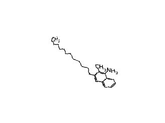 CCCCCCCCCCCCc1cc2ccccc2c(N)c1C